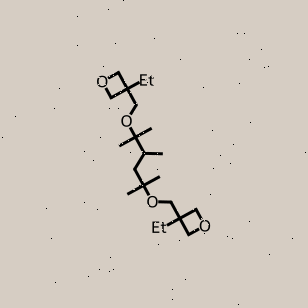 CCC1(COC(C)(C)CC(C)C(C)(C)OCC2(CC)COC2)COC1